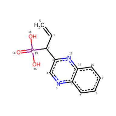 C=CC(c1cnc2ccccc2n1)P(=O)(O)O